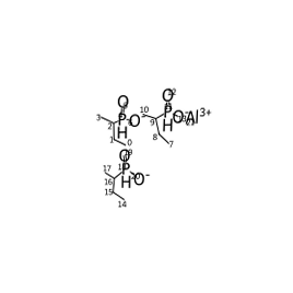 CCC(C)[PH](=O)[O-].CCC(C)[PH](=O)[O-].CCC(C)[PH](=O)[O-].[Al+3]